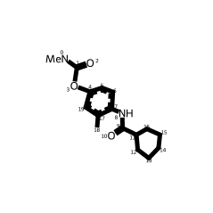 CNC(=O)Oc1ccc(NC(=O)C2CCCCC2)c(C)c1